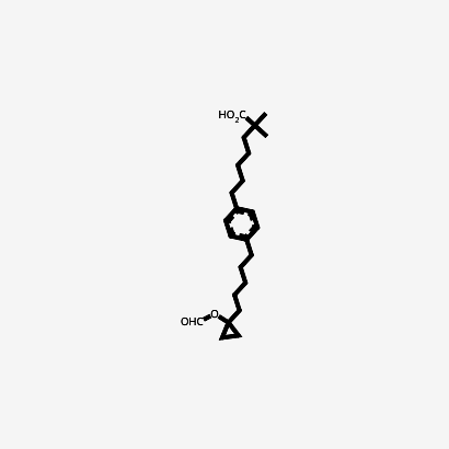 CC(C)(CCCCCc1ccc(CCCCCC2(OC=O)CC2)cc1)C(=O)O